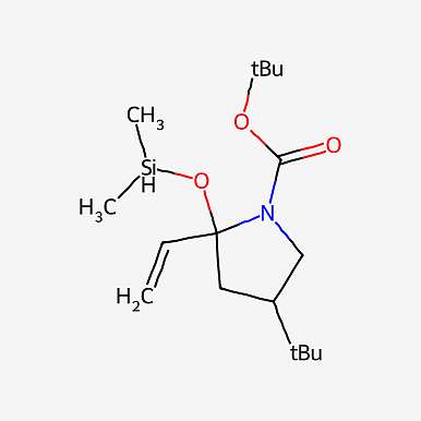 C=CC1(O[SiH](C)C)CC(C(C)(C)C)CN1C(=O)OC(C)(C)C